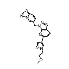 COCCn1cc(-c2ccc3nnn(Cc4ccc5ncnn5c4)c3n2)cn1